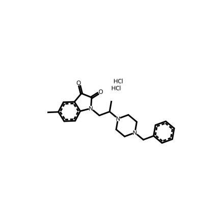 Cc1ccc2c(c1)C(=O)C(=O)N2CC(C)N1CCN(Cc2ccccc2)CC1.Cl.Cl